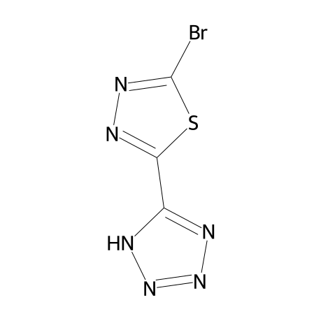 Brc1nnc(-c2nnn[nH]2)s1